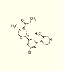 C=CC(=O)N1C[C@@H](c2cc(Cl)nc(C3=CC=NCN3C)c2)OC[C@@H]1C